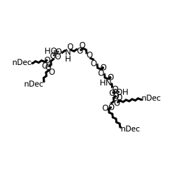 CCCCCCCCCCCCCCCCCC(=O)OCC(COP(=O)(O)OCCNC(=O)CCOC(=O)CCOCCOCCC(=O)OCCC(=O)NCCOP(=O)(O)OCC(COC(=O)CCCCCCCCCCCCCC)OC(=O)CCCCCCCCCCCCCC)OC(=O)CCCCCCCCCCCCCCCCC